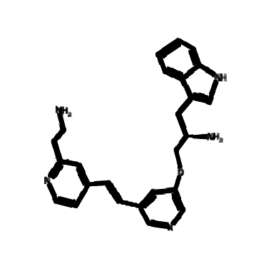 NCCc1cc(C=Cc2cncc(OC[C@H](N)Cc3c[nH]c4ccccc34)c2)ccn1